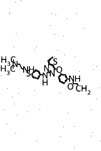 C=CC(=O)Nc1cccc(Oc2nc(Nc3ccc(SNCCN(C)C)cc3)nc3ccsc23)c1